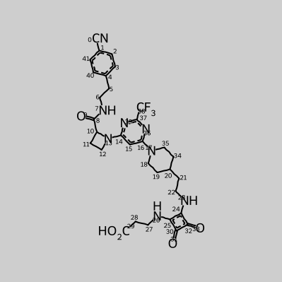 N#Cc1ccc(CCNC(=O)C2CCN2c2cc(N3CCC(CCNc4c(NCCC(=O)O)c(=O)c4=O)CC3)nc(C(F)(F)F)n2)cc1